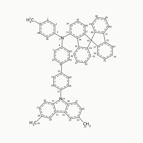 Cc1ccc(N(c2ccc(-c3ccc(-n4c5ccc(C)cc5c5cc(C)ccc54)cc3)cc2)c2cccc3c2-c2ccccc2C32c3ccccc3-c3ccccc32)cc1